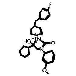 COc1cccc(N(CC(O)(CN2CCC(Cc3ccc(F)cc3)CC2)C2CCCCC2)C(N)=O)c1